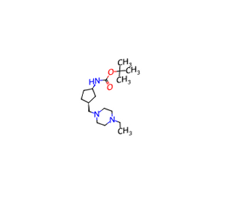 CCN1CCN(C[C@H]2CC[C@@H](NC(=O)OC(C)(C)C)C2)CC1